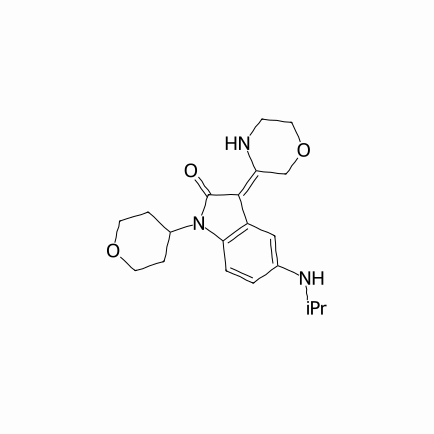 CC(C)Nc1ccc2c(c1)/C(=C1\COCCN1)C(=O)N2C1CCOCC1